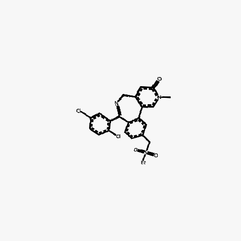 CCS(=O)(=O)Cc1ccc2c(c1)-c1cn(C)c(=O)cc1CN=C2c1cc(Cl)ccc1Cl